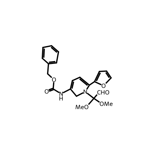 COC(C=O)(OC)N1CC(NC(=O)OCc2ccccc2)=CC=C1c1ccco1